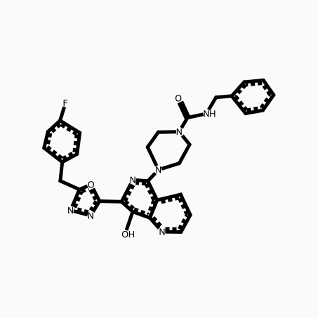 O=C(NCc1ccccc1)N1CCN(c2nc(-c3nnc(Cc4ccc(F)cc4)o3)c(O)c3ncccc23)CC1